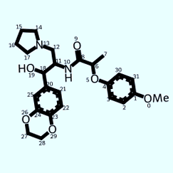 COc1ccc(OC(C)C(=O)NC(CN2CCCC2)C(O)c2ccc3c(c2)OCCO3)cc1